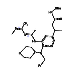 C/N=C(\N=C(/C)Nc1cc(C(C)CC(=O)NOC)ccc1N(CC(C)C)C1CCOCC1)C(F)(F)F